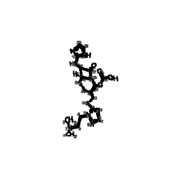 CN(C)CCn1nnnc1SCC1=C(OC(=O)O)N2C(=O)C(Nc3ncc[nH]3)[C@@H]2SC1